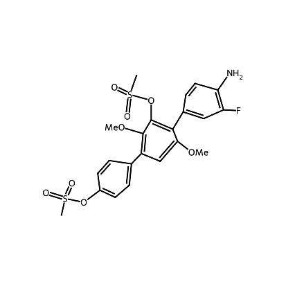 COc1cc(-c2ccc(OS(C)(=O)=O)cc2)c(OC)c(OS(C)(=O)=O)c1-c1ccc(N)c(F)c1